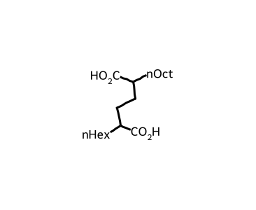 CCCCCCCCC(CCC(CCCCCC)C(=O)O)C(=O)O